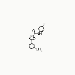 Cc1cccc(-c2ccc(C(=O)Nc3ccc(F)cc3)o2)c1